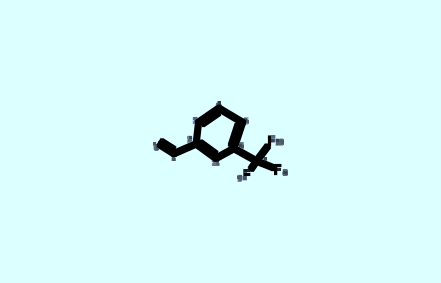 [CH]=Cc1cccc(C(F)(F)F)c1